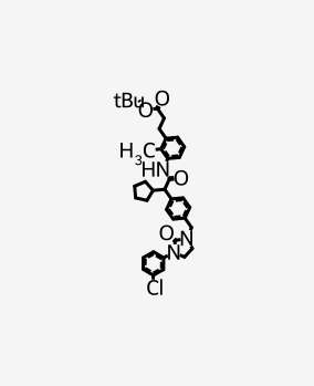 Cc1c(CCC(=O)OC(C)(C)C)cccc1NC(=O)C(c1ccc(CN2CCN(c3cccc(Cl)c3)C2=O)cc1)C1CCCC1